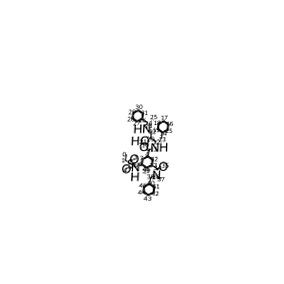 CCS(=O)(=O)Nc1cc(C(=O)N[C@@H](Cc2ccccc2)[C@H](O)CN[C@@H](C)c2ccccc2)cc(C(=O)N(C)[C@@H](C)c2ccccc2)c1